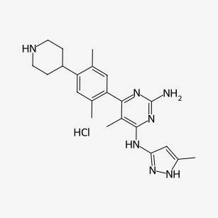 Cc1cc(Nc2nc(N)nc(-c3cc(C)c(C4CCNCC4)cc3C)c2C)n[nH]1.Cl